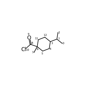 CC(C)C1CCC(C)(C(=O)Cl)CC1